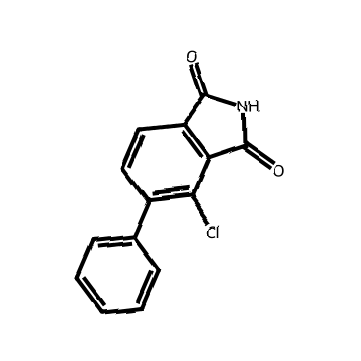 O=C1NC(=O)c2c1ccc(-c1ccccc1)c2Cl